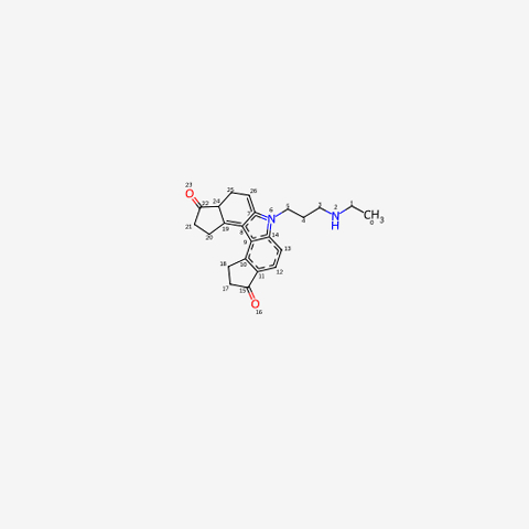 CCNCCCn1c2c(c3c4c(ccc31)C(=O)CC4)=C1CCC(=O)C1CC=2